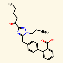 C#CCCn1nc(C(=O)CCCC)nc1Cc1ccc(-c2ccccc2C(=O)O)cc1